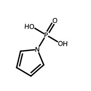 O=P(O)(O)n1cccc1